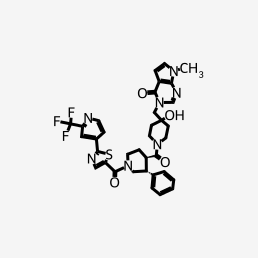 Cn1ccc2c(=O)n(CC3(O)CCN(C(=O)[C@@H]4CCN(C(=O)c5cnc(-c6ccnc(C(F)(F)F)c6)s5)C[C@H]4c4ccccc4)CC3)cnc21